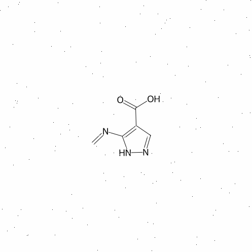 C=Nc1[nH]ncc1C(=O)O